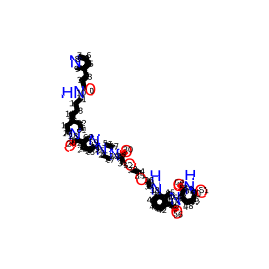 O=C(/C=C/c1cccnc1)NCCCCC1CCN(C(=O)c2ccc(N3CCN(C(=O)COCCOCCNc4cccc5c4CN(C4CCC(=O)NC4=O)C5=O)CC3)nc2)CC1